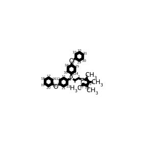 Cc1c(C)c(C)p(CCP(c2ccc(Oc3ccccc3)cc2)c2ccc(Oc3ccccc3)cc2)c1C